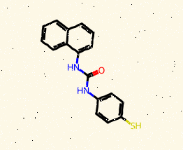 O=C(Nc1ccc(S)cc1)Nc1cccc2ccccc12